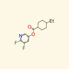 CCC1CCC(C(=O)Oc2cnc(F)c(F)c2)CC1